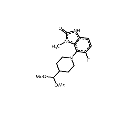 COC(OC)C1CCN(c2c(F)ccc3[nH]c(=O)n(C)c23)CC1